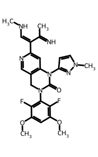 CN/C=C(\C(C)=N)c1cc2c(cn1)CN(c1c(F)c(OC)cc(OC)c1F)C(=O)N2c1ccn(C)n1